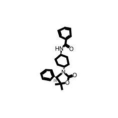 CC1(C)OC(=O)N([C@H]2CC[C@H](NC(=O)c3ccccc3)CC2)[C@H]1c1ccccc1